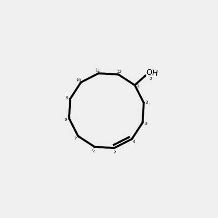 OC1CCC=CCCCCCCC1